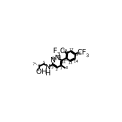 Cc1cc(NC[C@@H](C)O)nnc1-c1ccc(C(F)(F)F)cc1C(F)(F)F